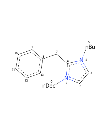 CCCCCCCCCC[n+]1ccn(CCCC)c1Cc1ccccc1